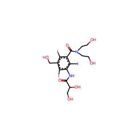 O=C(Nc1c(I)c(CO)c(I)c(C(=O)N(CCO)CCO)c1I)C(O)CO